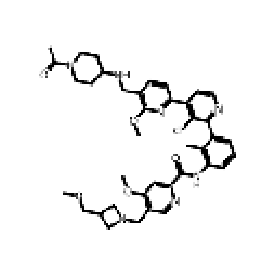 COCC1CN(Cc2cnc(C(=O)Nc3cccc(-c4nccc(-c5ccc(CNC6CCN(C(C)=O)CC6)c(OC)n5)c4Cl)c3C)cc2OC)C1